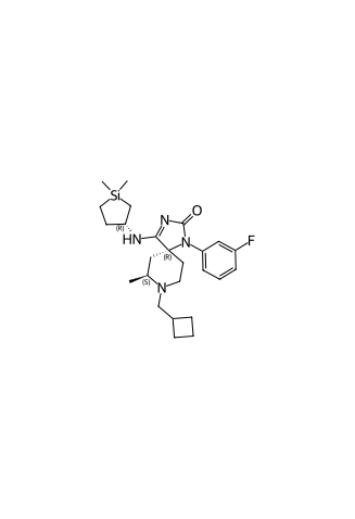 C[C@H]1C[C@]2(CCN1CC1CCC1)C(N[C@@H]1CC[Si](C)(C)C1)=NC(=O)N2c1cccc(F)c1